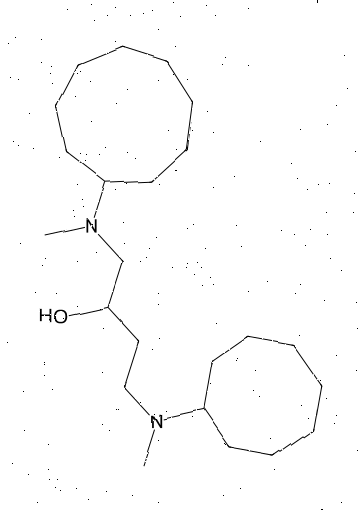 CN(CCC(O)CN(C)C1CCCCCCCC1)C1CCCCCCC1